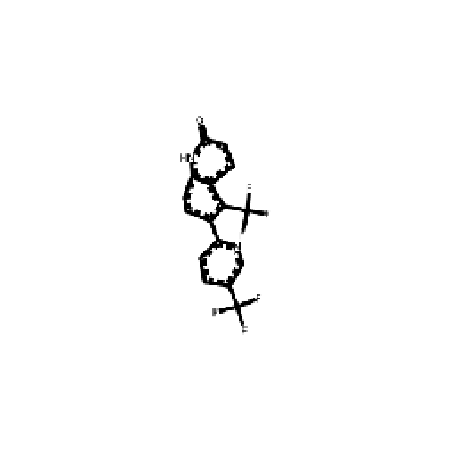 O=c1ccc2c(C(F)(F)F)c(-c3ccc(C(F)(F)F)cn3)ccc2[nH]1